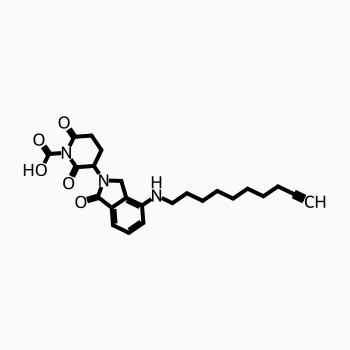 C#CCCCCCCCCNc1cccc2c1CN(C1CCC(=O)N(C(=O)O)C1=O)C2=O